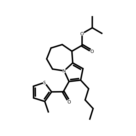 CCCCc1cc2n(c1C(=O)c1sccc1C)CCCCC2C(=O)OC(C)C